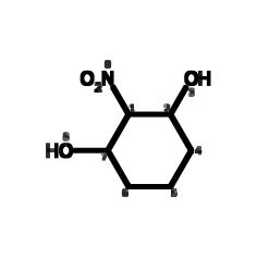 O=[N+]([O-])C1C(O)CCCC1O